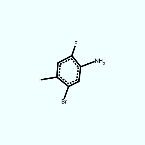 Nc1cc(Br)c(I)cc1F